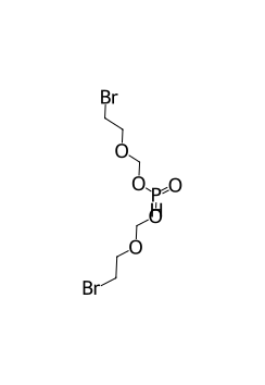 O=[PH](OCOCCBr)OCOCCBr